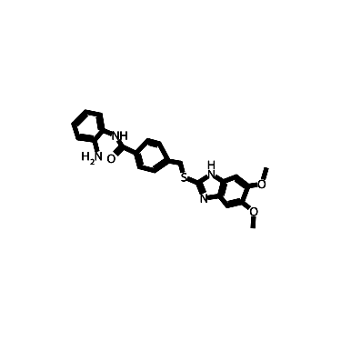 COc1cc2nc(SCc3ccc(C(=O)Nc4ccccc4N)cc3)[nH]c2cc1OC